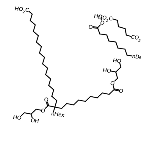 CCCCCCC(CCCCCCCCCCCCCCCCCC(=O)O)(CCCCCCCCCC(=O)OCC(O)CO)C(=O)OCC(O)CO.CCCCCCCCCCCCCCCCCC(=O)OO.O=C(O)CCCCC(=O)O